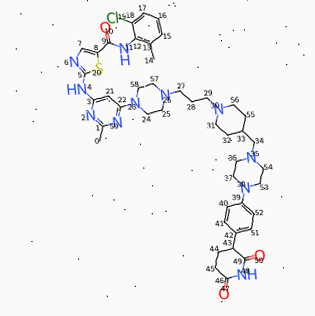 Cc1nc(Nc2ncc(C(=O)Nc3c(C)cccc3Cl)s2)cc(N2CCN(CCCN3CCC(CN4CCN(c5ccc(C6CCC(=O)NC6=O)cc5)CC4)CC3)CC2)n1